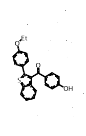 CCOc1ccc(-c2sc3ccccc3c2C(=O)c2ccc(O)cc2)cc1